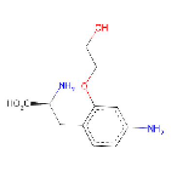 Nc1ccc(C[C@H](N)C(=O)O)c(OCCO)c1